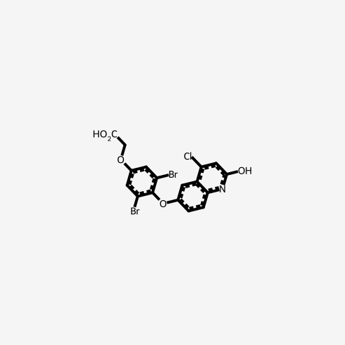 O=C(O)COc1cc(Br)c(Oc2ccc3nc(O)cc(Cl)c3c2)c(Br)c1